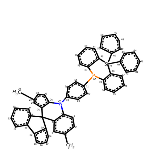 Cc1ccc2c(c1)C1(c3ccccc3-c3ccccc31)c1cc(C)ccc1N2c1ccc(P2c3ccccc3[Si](c3ccccc3)(c3ccccc3)c3ccccc32)cc1